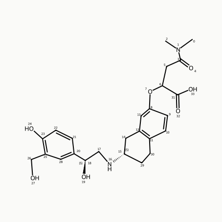 CN(C)C(=O)CC(Oc1ccc2c(c1)C[C@@H](NC[C@@H](O)c1ccc(O)c(CO)c1)CC2)C(=O)O